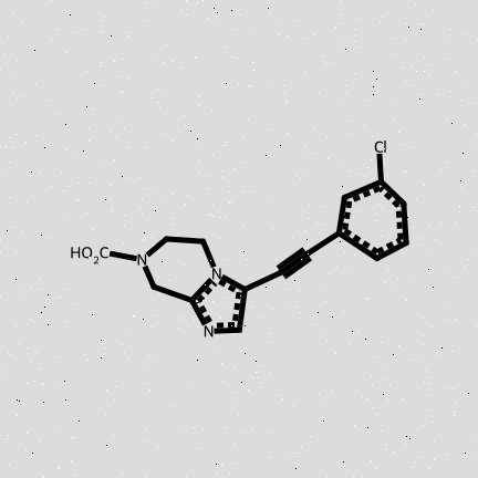 O=C(O)N1CCn2c(C#Cc3cccc(Cl)c3)cnc2C1